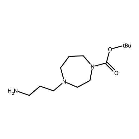 CC(C)(C)OC(=O)N1CCCN(CCCN)CC1